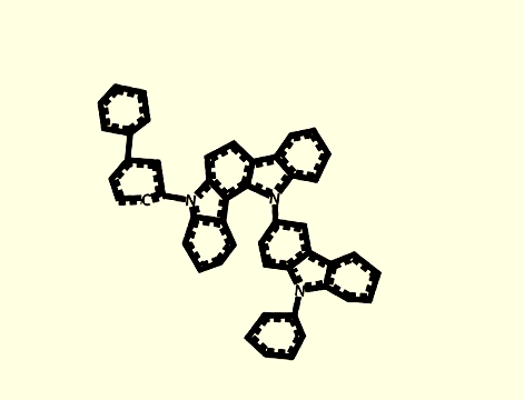 c1ccc(-c2cccc(-n3c4ccccc4c4c3ccc3c5ccccc5n(-c5ccc6c(c5)c5ccccc5n6-c5ccccc5)c34)c2)cc1